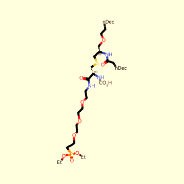 CCCCCCCCCCCCOC[C@H](CSC[C@H](NC(=O)O)C(=O)NCCOCCOCCOCCP(=O)(OCC)OCC)NC(=O)CCCCCCCCCCC